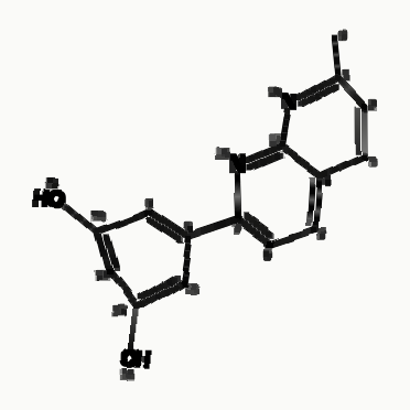 Cc1ccc2ccc(-c3cc(O)cc(O)c3)nc2n1